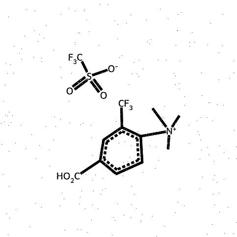 C[N+](C)(C)c1ccc(C(=O)O)cc1C(F)(F)F.O=S(=O)([O-])C(F)(F)F